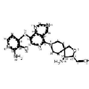 C=C[C@@H]1OCC2(CCN(c3ncc(Sc4ccnc(N)c4Cl)c4ncncc34)CC2)[C@@H]1N